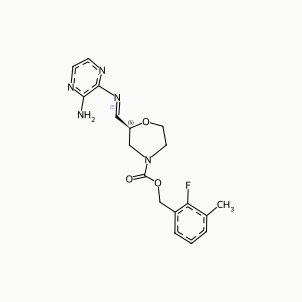 Cc1cccc(COC(=O)N2CCO[C@H](/C=N/c3nccnc3N)C2)c1F